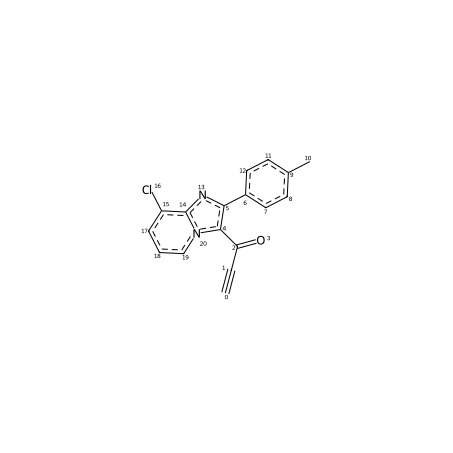 C#CC(=O)c1c(-c2ccc(C)cc2)nc2c(Cl)cccn12